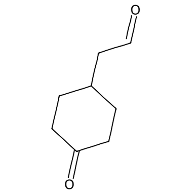 O=CCC1CCC(=O)CC1